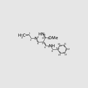 C=CC/N=C/C(=C/NCc1ccccc1)C(=N)OC